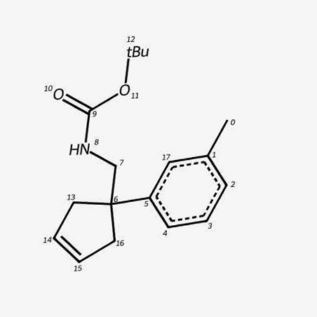 Cc1cccc(C2(CNC(=O)OC(C)(C)C)CC=CC2)c1